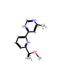 C=C(OCC)c1cccc(-c2cc(C)ncn2)n1